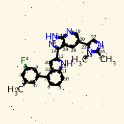 Cc1cc(F)cc(-c2cccc3[nH]c(-c4n[nH]c5ncc(-c6cnc(C)n6C)cc45)cc23)c1